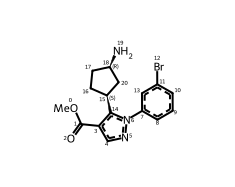 COC(=O)c1cnn(-c2cccc(Br)c2)c1[C@H]1CC[C@@H](N)C1